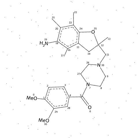 COc1ccc(C(=O)N2CCN(CC3(C)Cc4c(C)c(N)c(C)c(C)c4O3)CC2)cc1OC